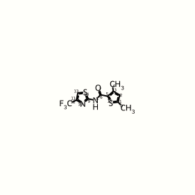 Cc1cc(C)c(C(=O)Nc2nc(C(F)(F)F)cs2)s1